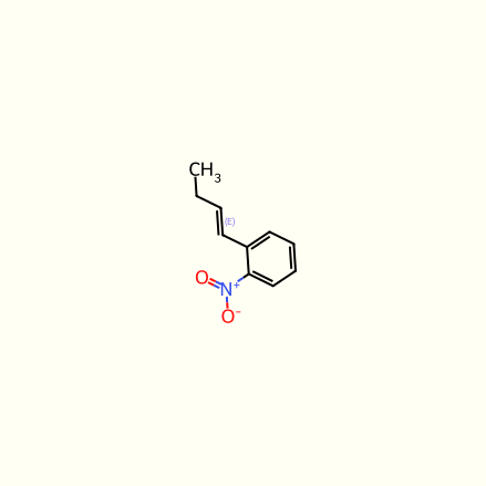 CC/C=C/c1ccccc1[N+](=O)[O-]